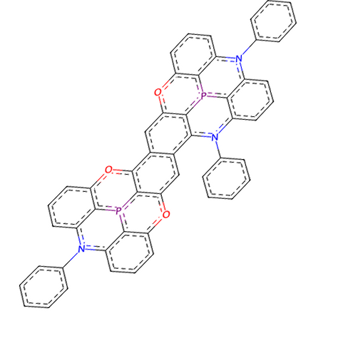 c1ccc(-n2c3cccc4oc5cc6c(cc7oc8cccc9c8p8c%10c(cccc%10n(-c%10ccccc%10)c6c78)n9-c6ccccc6)c6oc7cccc2c7p(c56)c43)cc1